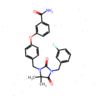 CC1(C)C(=O)N(Cc2cccc(F)c2)C(=O)N1Cc1ccc(Oc2cccc(C(N)=O)c2)cc1